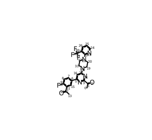 CC(=O)c1nc(-c2ccc(F)c(C(C)=O)c2)cc(N2CCN(c3ncccc3C(F)(F)F)CC2)n1